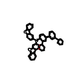 c1ccc(-c2cccc(-c3ccc(N(c4ccc5c(c4)oc4ccccc45)c4ccc5oc6ccccc6c5c4)c(-c4ccccc4)c3)c2)cc1